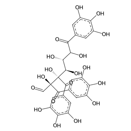 O=C[C@@](O)(C(=O)c1cc(O)c(O)c(O)c1)[C@](O)(C(=O)c1cc(O)c(O)c(O)c1)[C@H](O)[C@H](O)C(O)C(=O)c1cc(O)c(O)c(O)c1